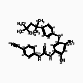 CC(C)(C)CC(C)(C)c1ccc(Oc2cc(NC(=O)Nc3ccc(C#N)cc3)c(O)cc2N)cc1